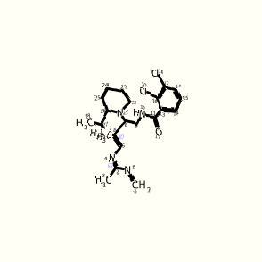 C=N/C(C)=N\C=C(/C)C(CNC(=O)c1cccc(Cl)c1Cl)N1CCCCC1C(C)C